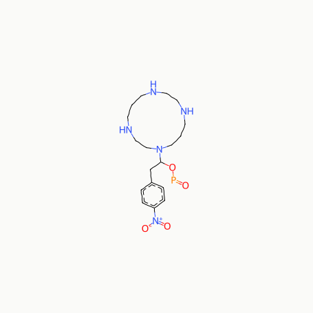 O=POC(Cc1ccc([N+](=O)[O-])cc1)N1CCCNCCNCCCNCC1